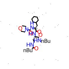 CCCCNC(=O)[C@H](CCNC(=O)CCCC)NC(=O)[C@H](CC1CCCCC1)NC(=O)N1CCOCC1